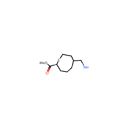 COC(=O)C1CCCC(C[NH])CCC1